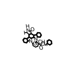 CC1(C(=O)OCc2ccccc2)CCCC2OC1n1c3ccccc3c3c4c(c5c6ccccc6n2c5c31)C(I)NC4=O